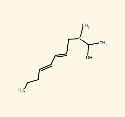 CCCC=CC=CCN(C)C(C)O